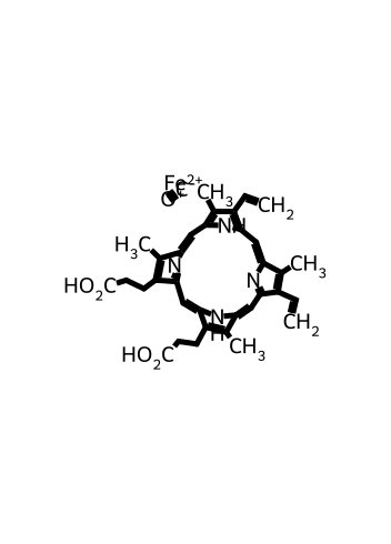 C=CC1=C(C)c2cc3[nH]c(cc4nc(cc5[nH]c(cc1n2)c(C)c5CCC(=O)O)C(CCC(=O)O)=C4C)c(C)c3C=C.[C-]#[O+].[Fe+2]